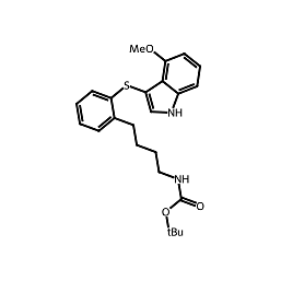 COc1cccc2[nH]cc(Sc3ccccc3CCCCNC(=O)OC(C)(C)C)c12